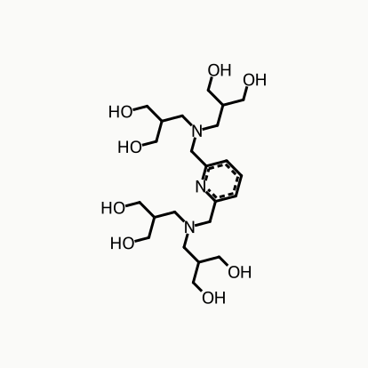 OCC(CO)CN(Cc1cccc(CN(CC(CO)CO)CC(CO)CO)n1)CC(CO)CO